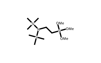 CO[Si](CCN([Si](C)(C)C)[Si](C)(C)C)(OC)OC